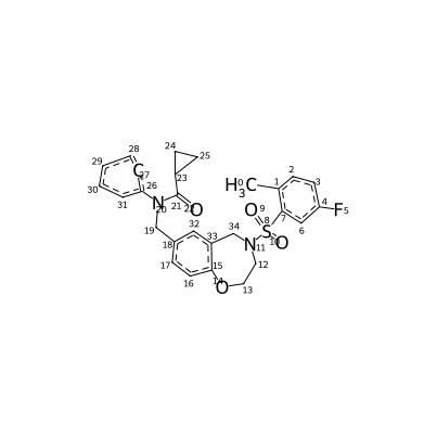 Cc1ccc(F)cc1S(=O)(=O)N1CCOc2ccc(CN(C(=O)C3CC3)c3ccccc3)cc2C1